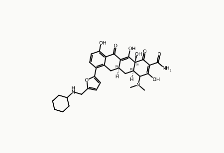 CN(C)C1C(O)=C(C(N)=O)C(=O)[C@@]2(O)C(O)=C3C(=O)c4c(O)ccc(-c5ccc(CNC6CCCCC6)o5)c4C[C@@H]3C[C@H]12